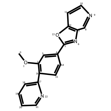 COc1cc(-c2nc3cnccc3o2)ccc1-c1ccccn1